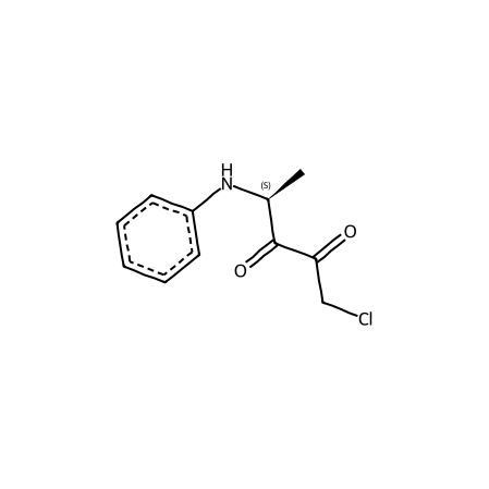 C[C@H](Nc1ccccc1)C(=O)C(=O)CCl